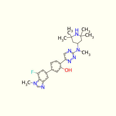 CN(c1ncc(-c2ccc(-c3cc(F)c4c(c3)ncn4C)cc2O)nn1)C1CC(C)(C)NC(C)(C)C1